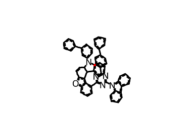 C1=CC2C(c3ccccc3N2c2cccc(-c3ccccc3)c2)c2c1oc1cccc(-c3nc(-c4ccc(-c5ccccc5)cc4)nc(-n4c5ccccc5c5ccccc54)n3)c21